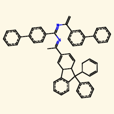 C=C(/N=C(\N=C(/C)C1=CC2c3ccccc3C(c3ccccc3)(C3C=CC=CC3)C2C=C1)c1ccc(-c2ccccc2)cc1)c1cccc(-c2ccccc2)c1